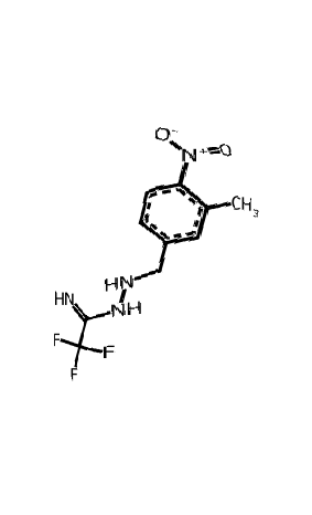 Cc1cc(CNNC(=N)C(F)(F)F)ccc1[N+](=O)[O-]